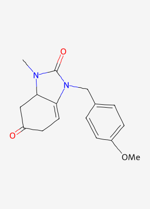 COc1ccc(CN2C(=O)N(C)C3CC(=O)CC=C32)cc1